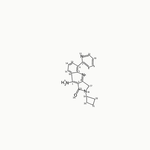 Nc1c2c(nc3c(-c4ccccn4)cccc13)CN(C1CCC1)C2=O